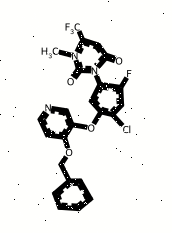 Cn1c(C(F)(F)F)cc(=O)n(-c2cc(Oc3cnccc3OCc3ccccc3)c(Cl)cc2F)c1=O